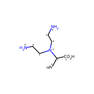 CCCC(C(=O)O)N(CCN)CCN